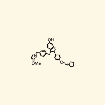 CON1C=CN(Cc2ccc(Cc3c(-c4ccc(OCCN5CCCC5)cc4)sc4cc(O)ccc34)cc2)C1